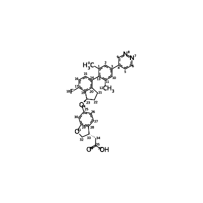 Cc1cc(-c2ccnnc2)cc(C)c1-c1ccc(F)c2c1CC[C@H]2Oc1ccc2c(c1)OC[C@H]2CC(=O)O